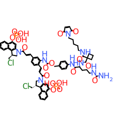 NC(=O)NCCCC(NC(=O)C1(C(=O)NCCCCCN2C(=O)C=CC2=O)CCC1)C(=O)Nc1ccc(COC(=O)Nc2cc(C=CC(=O)N3C[C@@H](CCl)c4c3cc(OP(=O)(O)O)c3ccccc43)ccc2C=CC(=O)N2C[C@@H](CCl)c3c2cc(OP(=O)(O)O)c2ccccc32)cc1